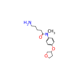 CN(C(=O)CCCCN)c1ccc(OC2CCOC2)cc1